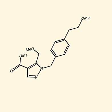 COCCc1ccc(Cn2ncc(C(=O)OC)c2COC)cc1